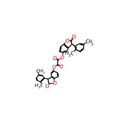 Cc1ccc(C)c(C2C(=O)Oc3ccc(OC(=O)C(=O)Oc4ccc5c(c4)C(c4cc(C)ccc4C)C(=O)O5)cc32)c1